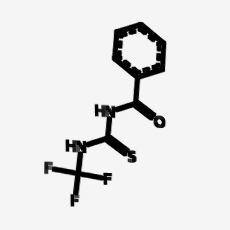 O=C(NC(=S)NC(F)(F)F)c1ccccc1